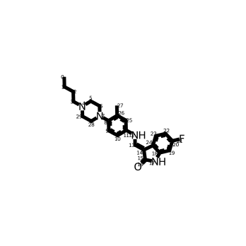 CCCCN1CCN(c2ccc(N/C=C3/C(=O)Nc4cc(F)ccc43)cc2C)CC1